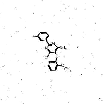 COc1ccccc1Oc1c(N)nc(-c2cccc(F)c2)nc1Cl